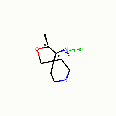 C[C@@H]1OCC2(CCNCC2)[C@@H]1N.Cl.Cl